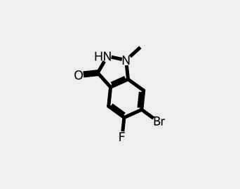 Cn1[nH]c(=O)c2cc(F)c(Br)cc21